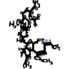 C/C=C\C=C(\OC)C(=CF)c1cc(C)ncc1C(=O)Nc1nnc(OCC(/C=C\C(=C/C)OC(F)F)=C(C)C)s1